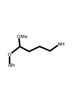 CCCOC(CCC[NH])OC